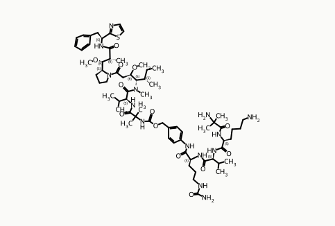 CC[C@H](C)[C@@H]([C@@H](CC(=O)N1CCC[C@H]1[C@H](OC)[C@@H](C)C(=O)N[C@@H](Cc1ccccc1)c1nccs1)OC)N(C)C(=O)[C@@H](NC(=O)C(C)(C)NC(=O)OCc1ccc(NC(=O)[C@H](CCCNC(N)=O)NC(=O)[C@@H](NC(=O)[C@H](CCCCN)NC(=O)C(C)(C)N)C(C)C)cc1)C(C)C